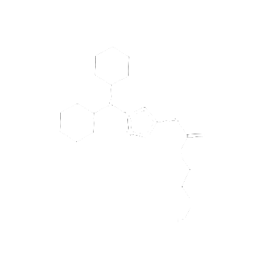 CC(C)OCCOC(=O)[N-]c1c[n+](N(C2CCCCC2)C2CCCCC2)no1